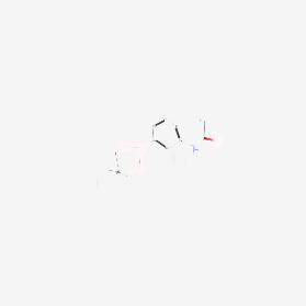 CN1C(=O)CSc2ccc(B3OCC(C)(C)CO3)cc21